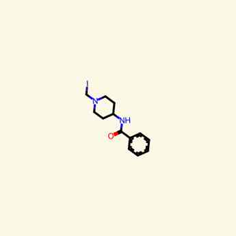 O=C(NC1CCN(CI)CC1)c1ccccc1